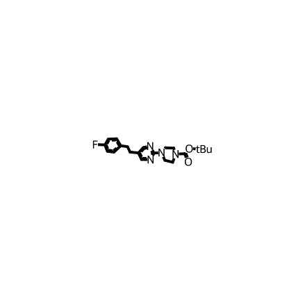 CC(C)(C)OC(=O)N1CCN(c2ncc(CCc3ccc(F)cc3)cn2)CC1